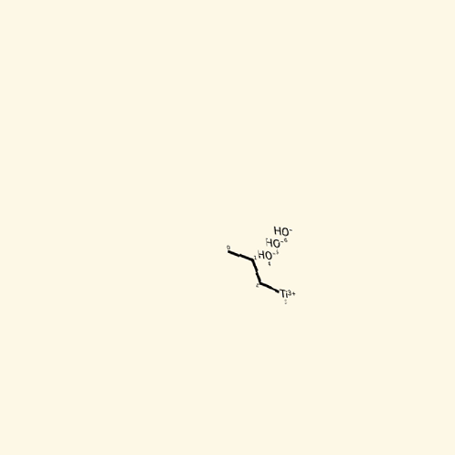 CC[CH2][Ti+3].[OH-].[OH-].[OH-]